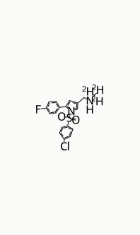 [2H]C([2H])([2H])NCc1cc(-c2ccc(F)cc2)n(S(=O)(=O)c2ccc(Cl)cc2)c1